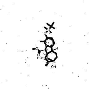 C=C1[C@H](O)[C@]23C[C@@]1(O)CC[C@H]2c1ccc(O[Si](C)(C)C(C)(C)C)c(C)c1[C@@H]3C(=O)OC